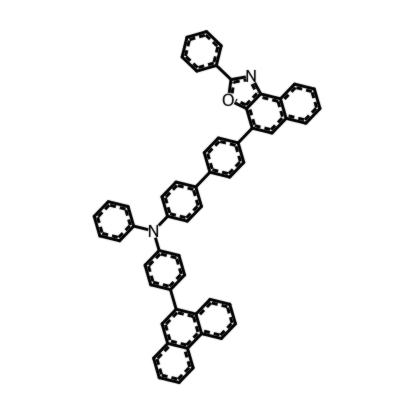 c1ccc(-c2nc3c(o2)c(-c2ccc(-c4ccc(N(c5ccccc5)c5ccc(-c6cc7ccccc7c7ccccc67)cc5)cc4)cc2)cc2ccccc23)cc1